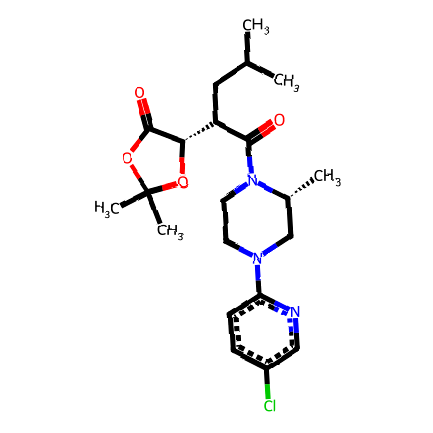 CC(C)CC(C(=O)N1CCN(c2ccc(Cl)cn2)C[C@H]1C)[C@@H]1OC(C)(C)OC1=O